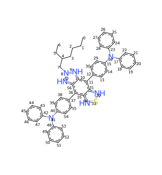 CCCCC(CC)Cn1[nH]c2c(-c3ccc(N(c4ccccc4)c4ccccc4)cc3)c3[nH]s[nH]c3c(-c3ccc(N(c4ccccc4)c4ccccc4)cc3)c2[nH]1